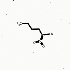 N#CC(CCCC(F)(F)F)=S(=O)=O